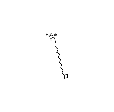 CS(=O)(=O)OCCCCCCCCCCCCCC1CCC1